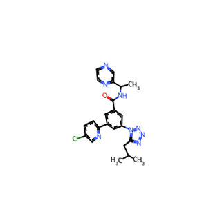 CC(C)Cc1nnnn1-c1cc(C(=O)NC(C)c2cnccn2)cc(-c2ccc(Cl)cn2)c1